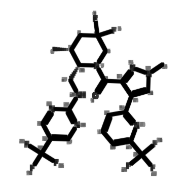 C[C@@H]1CC(F)(F)CN(C(=O)c2nn(C)cc2-c2cccc(C(F)(F)F)n2)[C@@H]1CNc1ncc(C(F)(F)F)cn1